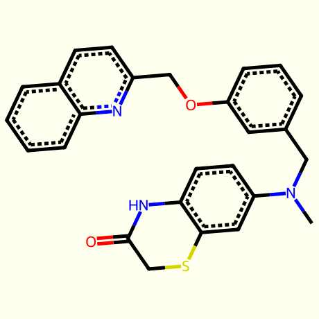 CN(Cc1cccc(OCc2ccc3ccccc3n2)c1)c1ccc2c(c1)SCC(=O)N2